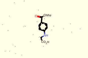 COC(=O)c1ccc(NCC(=O)O)cc1